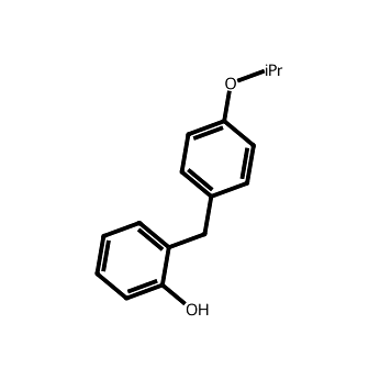 CC(C)Oc1ccc(Cc2ccccc2O)cc1